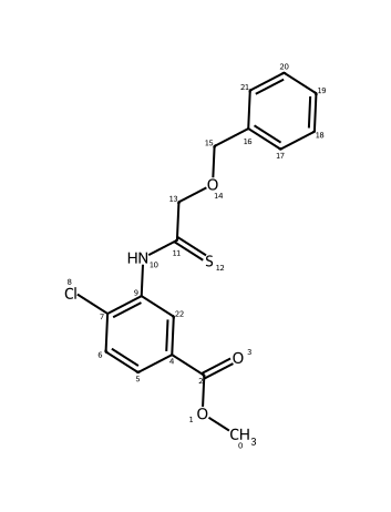 COC(=O)c1ccc(Cl)c(NC(=S)COCc2ccccc2)c1